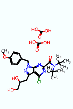 COc1ccc(Cn2nc(CC(O)CO)c3c(Cl)nc(C(=O)N(C(C)(C)C)C(C)(C)C)nc32)cc1.O=C(O)O.O=C(O)O